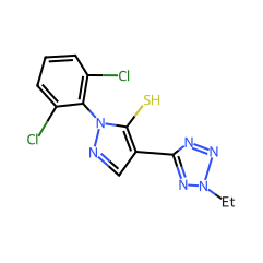 CCn1nnc(-c2cnn(-c3c(Cl)cccc3Cl)c2S)n1